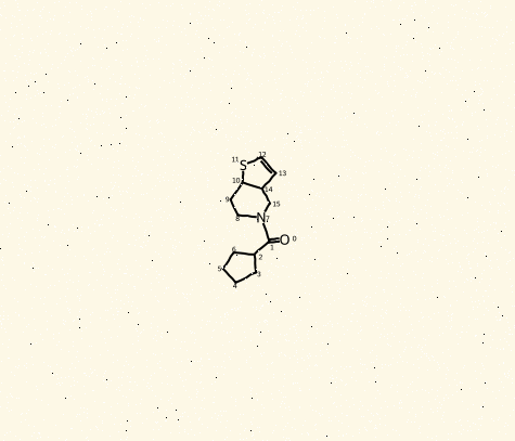 O=C(C1CCCC1)N1CCC2S[C]=CC2C1